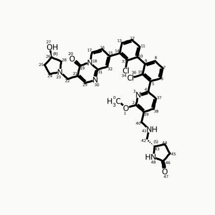 COc1nc(-c2cccc(-c3cccc(-c4ccn5c(=O)c(CN6CC[C@@H](O)C6)cnc5c4)c3Cl)c2Cl)ccc1CNC[C@@H]1CCC(=O)N1